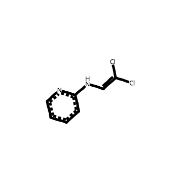 ClC(Cl)=CNc1ccccn1